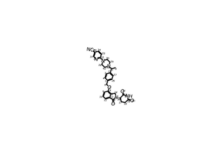 CC(c1ccc(COc2cccc3c2CN([C@H]2CCC(=O)NC2=O)C3=O)cc1)N1CCN(c2ccc(C#N)cn2)CC1